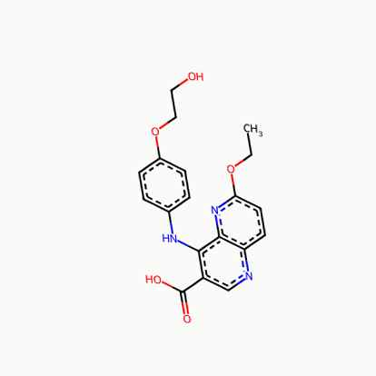 CCOc1ccc2ncc(C(=O)O)c(Nc3ccc(OCCO)cc3)c2n1